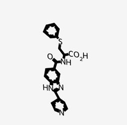 O=C(NC(CSc1ccccc1)C(=O)O)c1ccc2[nH]c(-c3ccncc3)nc2c1